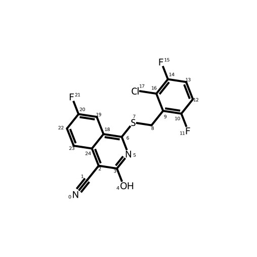 N#Cc1c(O)nc(SCc2c(F)ccc(F)c2Cl)c2cc(F)ccc12